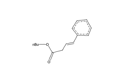 CCCCOC(=O)CC=Cc1ccccc1